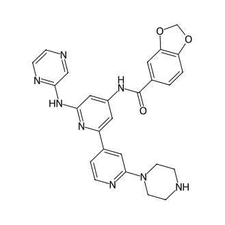 O=C(Nc1cc(Nc2cnccn2)nc(-c2ccnc(N3CCNCC3)c2)c1)c1ccc2c(c1)OCO2